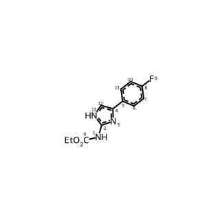 CCOC(=O)Nc1nc(-c2ccc(F)cc2)c[nH]1